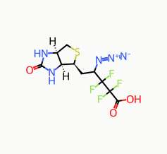 [N-]=[N+]=NC(C[C@@H]1SC[C@@H]2NC(=O)N[C@@H]21)C(F)(F)C(F)(F)C(=O)O